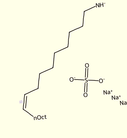 CCCCCCCC/C=C\CCCCCCCC[NH-].O=S(=O)([O-])[O-].[Na+].[Na+].[Na+]